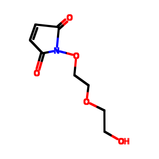 O=C1C=CC(=O)N1OCCOCCO